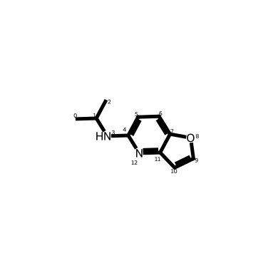 CC(C)Nc1ccc2occc2n1